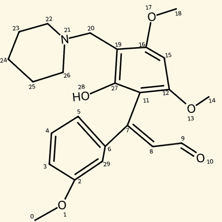 COc1cccc(C(=CC=O)c2c(OC)cc(OC)c(CN3CCCCC3)c2O)c1